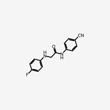 N#Cc1ccc(NC(=O)CNc2ccc(F)cc2)cc1